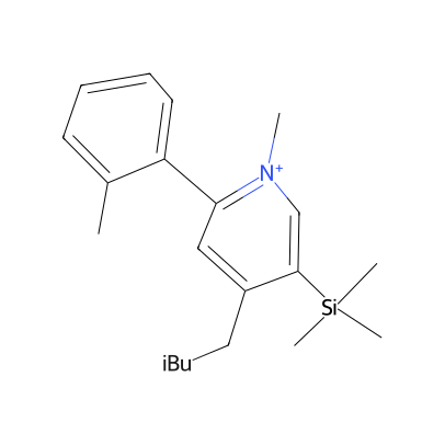 CCC(C)Cc1cc(-c2ccccc2C)[n+](C)cc1[Si](C)(C)C